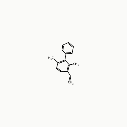 C=Cc1ccc(C)c(-c2ccccc2)c1C